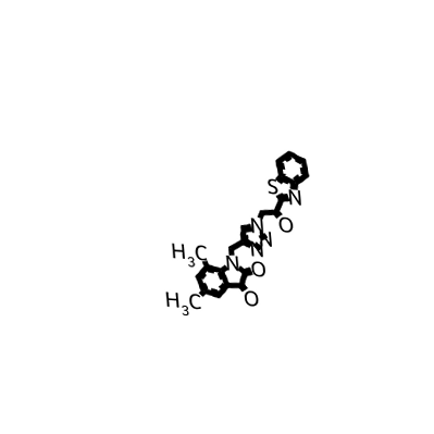 Cc1cc(C)c2c(c1)C(=O)C(=O)N2Cc1cn(CC(=O)c2nc3ccccc3s2)nn1